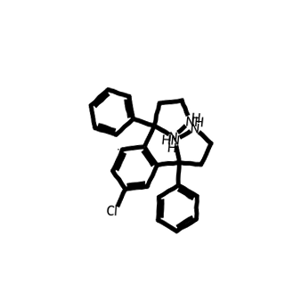 Clc1c[c]c(C2(c3ccccc3)CCNN2)c(C2(c3ccccc3)CCNN2)c1